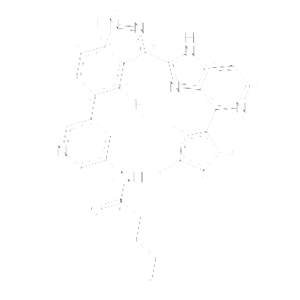 CCCCC(=O)Nc1cncc(-c2ccc3[nH]nc(-c4nc5c(-c6ccc(C)s6)nccc5[nH]4)c3c2F)c1